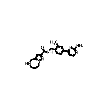 Cc1cc(-c2ccnc(N)n2)ccc1CNC(=O)c1cc2n(n1)CCCNC2